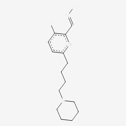 C/N=C/c1nc(CCCCN2CCCCC2)ccc1O